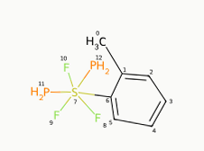 Cc1ccccc1S(F)(F)(F)(P)P